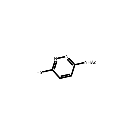 CC(=O)Nc1ccc(S)nn1